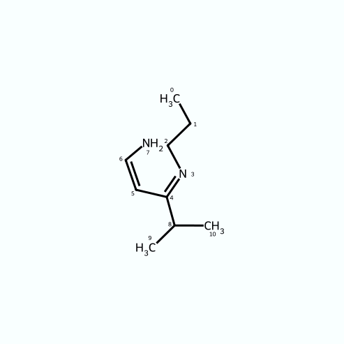 CCC/N=C(\C=C/N)C(C)C